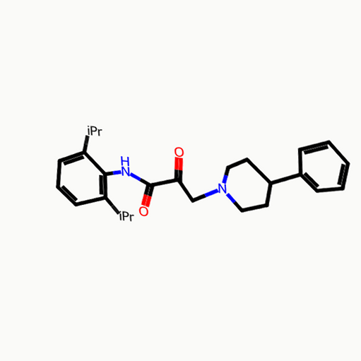 CC(C)c1cccc(C(C)C)c1NC(=O)C(=O)CN1CCC(c2ccccc2)CC1